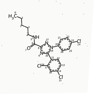 CCCCCNC(=O)c1nc(-c2ccc(Cl)cc2Cl)n(-c2ccc(Cl)cc2)n1